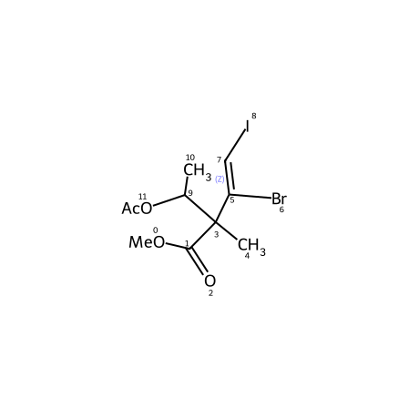 COC(=O)C(C)(/C(Br)=C/I)C(C)OC(C)=O